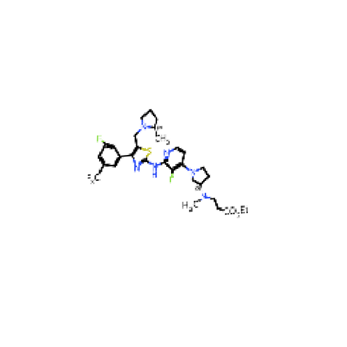 CCOC(=O)CCN(C)[C@H]1CCN(c2ccnc(Nc3nc(-c4cc(F)cc(C(F)(F)F)c4)c(CN4CCC[C@H]4C)s3)c2F)C1